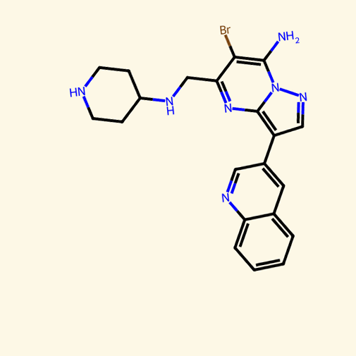 Nc1c(Br)c(CNC2CCNCC2)nc2c(-c3cnc4ccccc4c3)cnn12